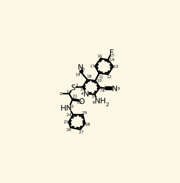 CC(Sc1nc(N)c(C#N)c(-c2ccc(F)cc2)c1C#N)C(=O)Nc1ccccc1